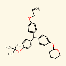 C=CCOc1ccc(C(c2ccc(OC3CCCCO3)cc2)c2ccc(OC(C)(C)C)cc2)cc1